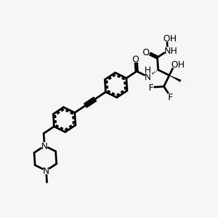 CN1CCN(Cc2ccc(C#Cc3ccc(C(=O)N[C@H](C(=O)NO)[C@](C)(O)C(F)F)cc3)cc2)CC1